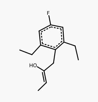 C/C=C(\O)Cc1c(CC)cc(F)cc1CC